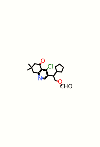 CC1(C)CC(=O)c2c(ncc(C(COC=O)C3CCCC3)c2Cl)C1